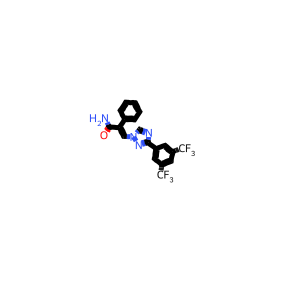 NC(=O)C(=Cn1cnc(-c2cc(C(F)(F)F)cc(C(F)(F)F)c2)n1)c1ccccc1